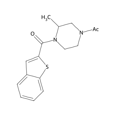 CC(=O)N1CCN(C(=O)c2cc3ccccc3s2)C(C)C1